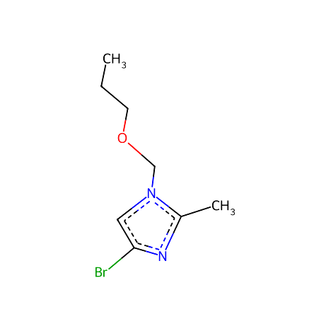 CCCOCn1cc(Br)nc1C